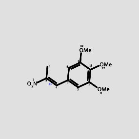 COc1cc(/C=C(\C)[N+](=O)[O-])cc(OC)c1OC